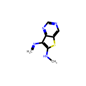 C=Nc1c(NC)sc2cncnc12